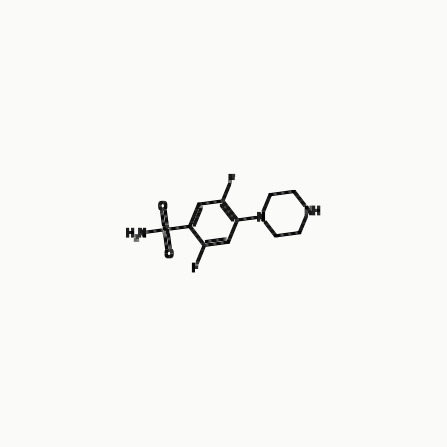 NS(=O)(=O)c1cc(F)c(N2CCNCC2)cc1F